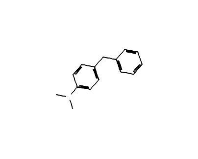 CN(C)c1ccc(Cc2ccccc2)cc1